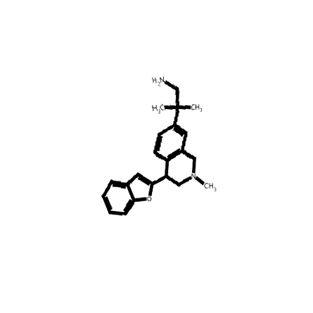 CN1Cc2cc(C(C)(C)CN)ccc2C(c2cc3ccccc3o2)C1